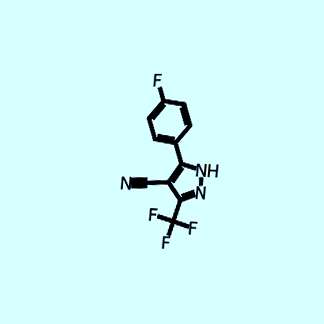 N#Cc1c(C(F)(F)F)n[nH]c1-c1ccc(F)cc1